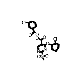 CS(=O)(=O)c1ncc(C(=O)OOC(=O)c2cccc(Cl)c2)c(Oc2ccccc2Cl)n1